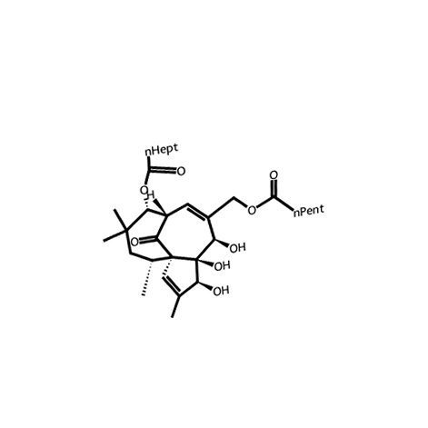 CCCCCCCC(=O)O[C@@H]1[C@@H]2C=C(COC(=O)CCCCC)[C@@H](O)[C@]3(O)[C@@H](O)C(C)=C[C@@]3(C2=O)[C@H](C)CC1(C)C